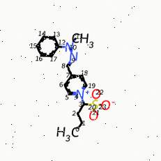 CCCC([n+]1ccc(C=NN(C)c2ccccc2)cc1)S(=O)(=O)[O-]